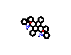 Cn1c(-c2c3ccccc3c(-c3cc4ccccc4n3C)c3c(-c4ccccc4)c4ccccc4c(-c4ccccc4)c23)cc2ccccc21